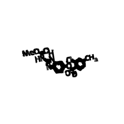 COC(=O)Nc1nc2ccc(OS(=O)(=O)c3ccc(C)cc3Cl)cc2[nH]1